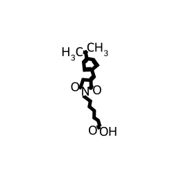 CC(C)c1ccc(/C=C2\CC(=O)N(CCCCCCC(=O)O)C2=O)cc1